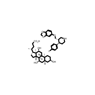 C[C@H](CCC(=O)O)[C@H]1CC[C@H]2[C@@H]3[C@H](O)C[C@@H]4C[C@H](O)CC[C@]4(C)[C@H]3C[C@H](O)[C@]12C.Fc1ccc([C@@H]2CCNC[C@H]2COc2ccc3c(c2)OCO3)cc1